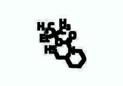 CCC(C)(C)OC(=O)N1CCCCC1CS